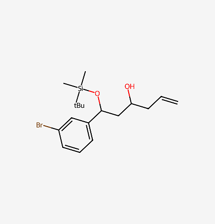 C=CCC(O)CC(O[Si](C)(C)C(C)(C)C)c1cccc(Br)c1